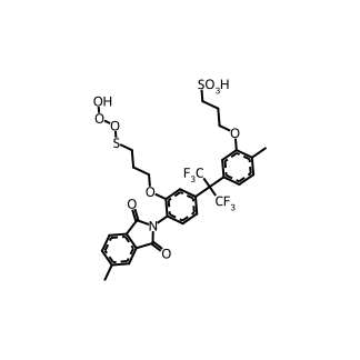 Cc1ccc2c(c1)C(=O)N(c1ccc(C(c3ccc(C)c(OCCCS(=O)(=O)O)c3)(C(F)(F)F)C(F)(F)F)cc1OCCCSOOO)C2=O